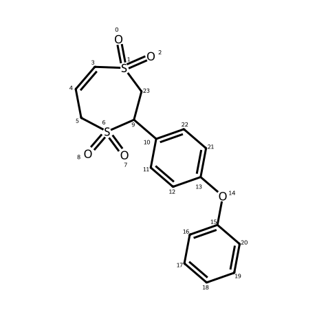 O=S1(=O)C=CCS(=O)(=O)C(c2ccc(Oc3ccccc3)cc2)C1